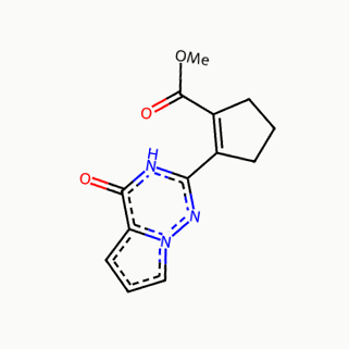 COC(=O)C1=C(c2nn3cccc3c(=O)[nH]2)CCC1